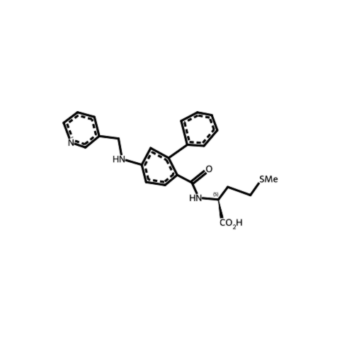 CSCC[C@H](NC(=O)c1ccc(NCc2cccnc2)cc1-c1ccccc1)C(=O)O